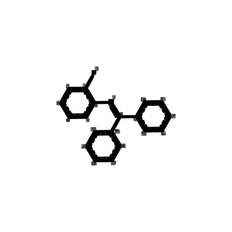 Fc1ccccc1N=C(c1ccccc1)c1ccccc1